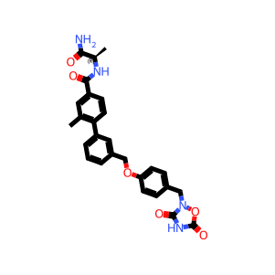 Cc1cc(C(=O)N[C@H](C)C(N)=O)ccc1-c1cccc(COc2ccc(Cn3oc(=O)[nH]c3=O)cc2)c1